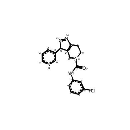 O=C(Nc1cccc(Cl)c1)N1CCC2=C(C1)C(c1cccnc1)N=N2